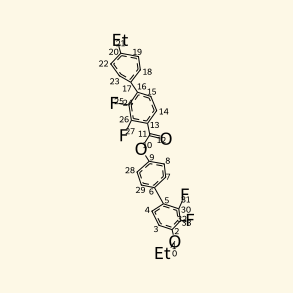 CCOc1ccc(-c2ccc(OC(=O)c3ccc(-c4ccc(CC)cc4)c(F)c3F)cc2)c(F)c1F